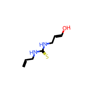 C=CCNC(=S)NCC=CO